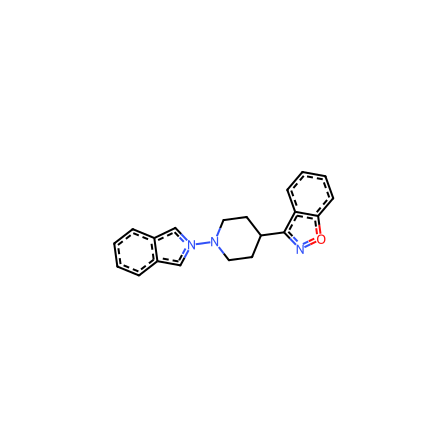 c1ccc2cn(N3CCC(c4noc5ccccc45)CC3)cc2c1